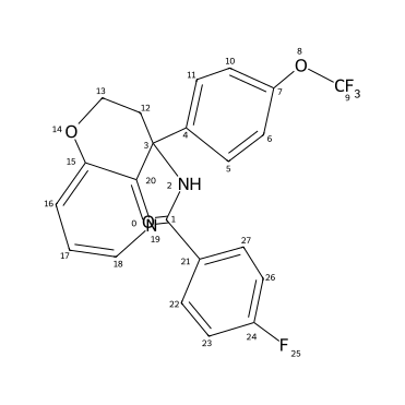 O=C(NC1(c2ccc(OC(F)(F)F)cc2)CCOc2cccnc21)c1ccc(F)cc1